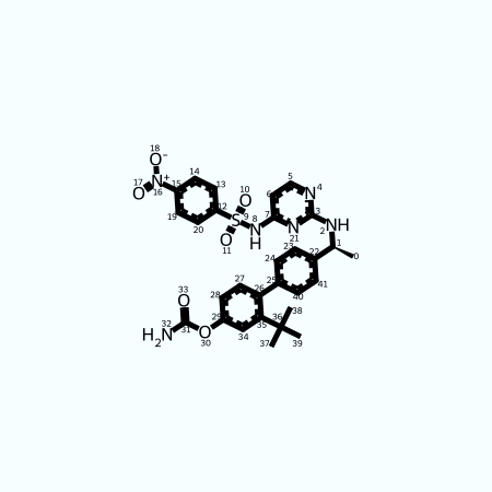 C[C@H](Nc1nccc(NS(=O)(=O)c2ccc([N+](=O)[O-])cc2)n1)c1ccc(-c2ccc(OC(N)=O)cc2C(C)(C)C)cc1